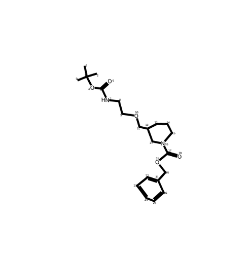 CC(C)(C)OC(=O)NCCOCC1CCCN(C(=O)OCc2ccccc2)C1